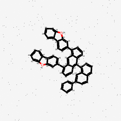 c1ccc(-c2ccc3cccc(-c4c5cccc(-c6ccc7c(c6)oc6ccccc67)c5cc5c(-c6ccc7c(c6)oc6ccccc67)cccc45)c3c2)cc1